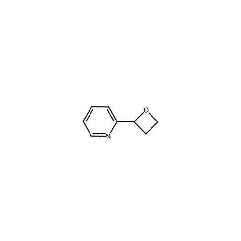 c1ccc([C]2CCO2)nc1